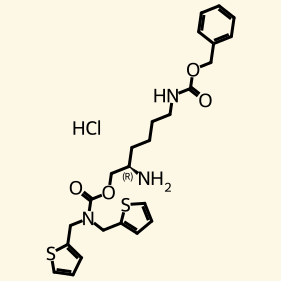 Cl.N[C@H](CCCCNC(=O)OCc1ccccc1)COC(=O)N(Cc1cccs1)Cc1cccs1